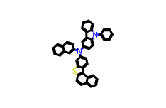 c1ccc(-n2c3ccccc3c3cc(N(c4ccc5ccccc5c4)c4ccc5c(c4)sc4ccc6ccccc6c45)ccc32)cc1